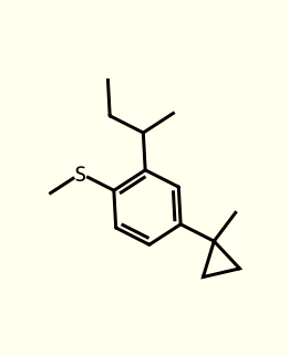 CCC(C)c1cc(C2(C)CC2)ccc1SC